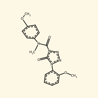 COc1ccc(N(C)C(=O)n2nnn(-c3ccccc3OC)c2=O)cc1